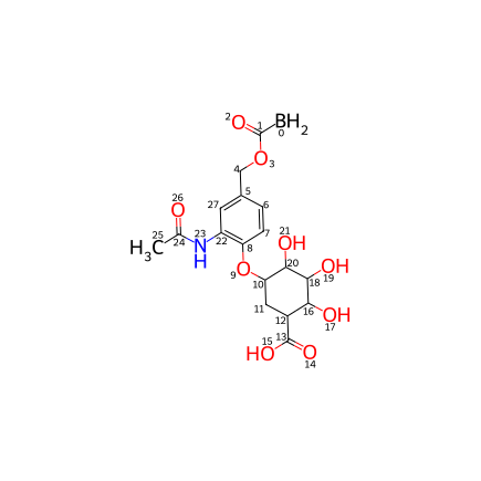 BC(=O)OCc1ccc(OC2CC(C(=O)O)C(O)C(O)C2O)c(NC(C)=O)c1